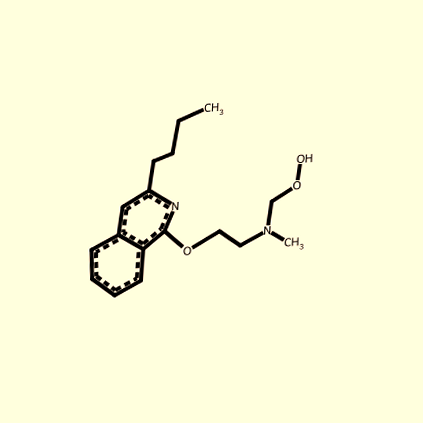 CCCCc1cc2ccccc2c(OCCN(C)COO)n1